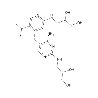 CC(C)c1cnc(NCC(O)CO)cc1Oc1cnc(NCC(O)CO)nc1N